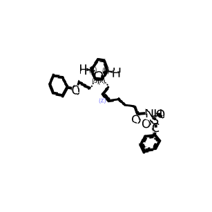 O=C(CCC/C=C\C[C@@H]1[C@H](CCOC2CCCCC2)[C@@H]2CC[C@H]1O2)NS(=O)(=O)Cc1ccccc1